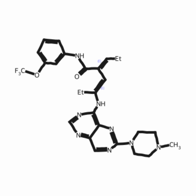 CC/C=C(\C=C(/CC)Nc1ncnc2cnc(N3CCN(C)CC3)nc12)C(=O)Nc1cccc(OC(F)(F)F)c1